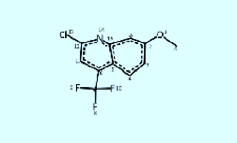 COc1ccc2c(C(F)(F)F)cc(Cl)nc2c1